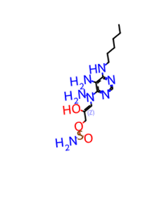 CCCCCCNc1ncnc(N(N)/C=C(\O)COS(N)=O)c1N